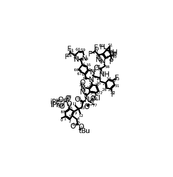 Cc1cc(CC(=O)OC(C)(C)C)c(C(C)(C)CC(=O)N(c2nn(C)c3c(-n4c([C@H](Cc5cc(F)cc(F)c5)NC(=O)Cn5nc(C(F)F)c6c5C(F)(F)[C@@H]5C[C@H]65)nc5cc(-c6nccc(C(F)F)n6)ccc5c4=O)ccc(Cl)c23)S(C)(=O)=O)c(OP(=O)(OC(C)C)OC(C)C)c1